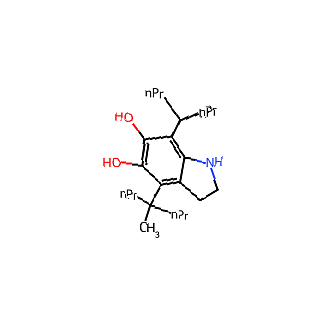 CCCC(CCC)c1c(O)c(O)c(C(C)(CCC)CCC)c2c1NCC2